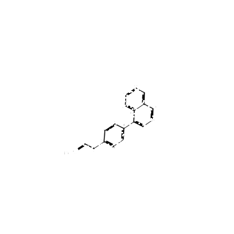 C=CCc1ccc(-c2cccc3ccccc23)cc1